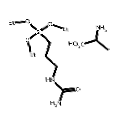 CC(N)C(=O)O.CCO[Si](CCCNC(N)=O)(OCC)OCC